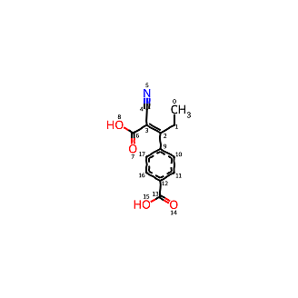 CCC(=C(C#N)C(=O)O)c1ccc(C(=O)O)cc1